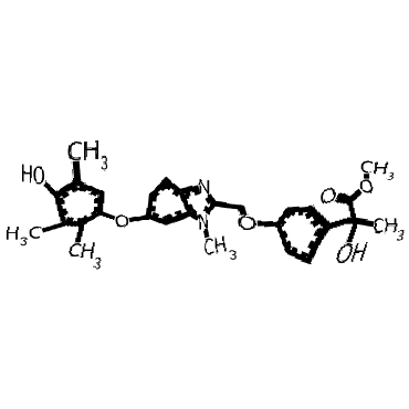 COC(=O)C(C)(O)c1ccc(OCc2nc3ccc(Oc4cc(C)c(O)c(C)c4C)cc3n2C)cc1